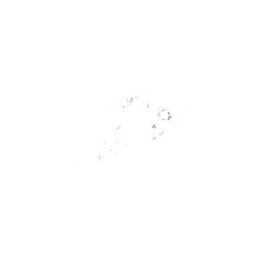 CCCNC[C@]1(O)[C@H](C)O[C@@H](OC2C(C)C(=O)OC(CC)C(C)(O)C(O)C(C)NCC(C)CC(C)(O)C(O[C@@H]3O[C@H](C)C[C@H](N(C)C)[C@H]3Oc3ccc(OC)nc3)C2C)C[C@@]1(C)OC